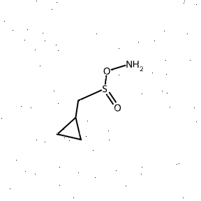 NOS(=O)CC1CC1